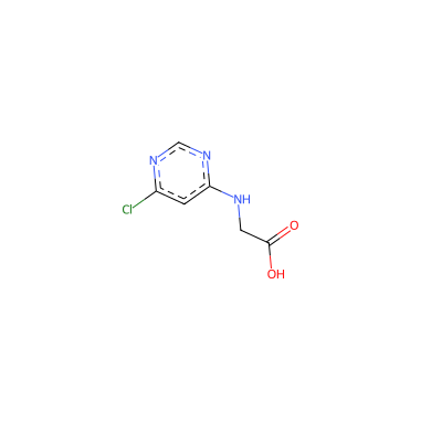 O=C(O)CNc1cc(Cl)ncn1